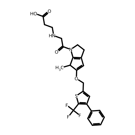 CC1C(OCc2cc(-c3ccccc3)c(C(F)(F)F)s2)=CC2=C1N(C(=O)CNCCC(=O)O)CC2